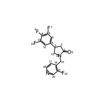 O=C1CC(c2cc(F)c(F)c(F)c2)CN1Cc1ccncc1F